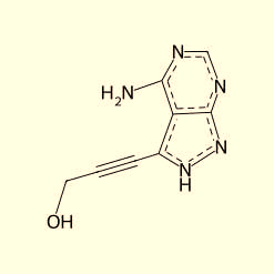 Nc1ncnc2n[nH]c(C#CCO)c12